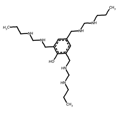 CCCNCNCc1cc(CNCNCCC)c(O)c(CNCNCCC)c1